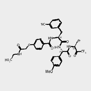 COc1ccc([C@H](NC(=O)[C@H](Cc2cccc(C#N)c2)NC(=O)c2ccc(OCC(=O)NCC(=O)O)cc2)C(=O)N[C@H](C(=O)C(F)(F)F)C(C)C)cc1